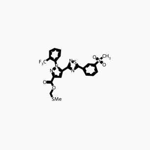 CSCOC(=O)c1cc(-c2nsc(-c3cccc(S(C)(=O)=O)c3)n2)n(-c2ccccc2C(F)(F)F)n1